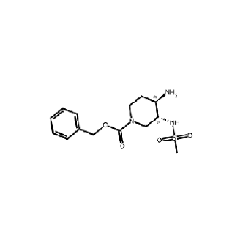 CS(=O)(=O)N[C@@H]1CN(C(=O)OCc2ccccc2)CC[C@H]1N